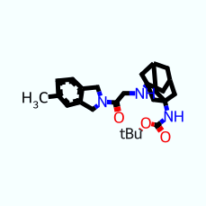 Cc1ccc2c(c1)CN(C(=O)CNC13CC4CC(C1)CC(NC(=O)OC(C)(C)C)(C4)C3)C2